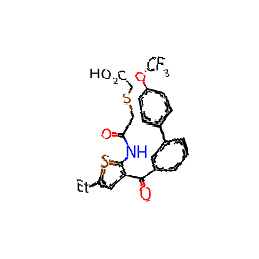 CCc1cc(C(=O)c2cccc(-c3ccc(OC(F)(F)F)cc3)c2)c(NC(=O)CSCC(=O)O)s1